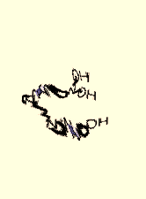 OCCN(CCO)c1ccc(/N=N/c2cccc[n+]2CCCCCC[n+]2cccc(/N=N/c3ccc(O)cc3)c2)cc1